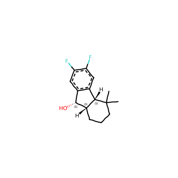 CC1(C)CCC[C@@H]2[C@H](O)c3cc(F)c(F)cc3[C@@H]21